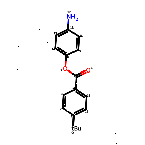 CC(C)(C)c1ccc(C(=O)Oc2ccc(N)cc2)cc1